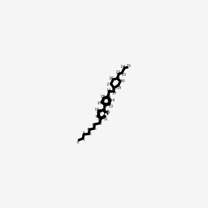 CCCCCCCCc1ccc(-c2ccc(CCC3CCC(CCCC)CC3)cc2)nc1